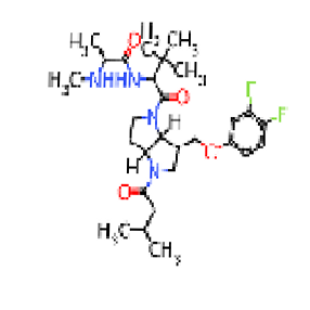 CN[C@@H](C)C(=O)N[C@H](C(=O)N1CC[C@@H]2[C@H]1[C@@H](COc1ccc(F)c(F)c1)CN2C(=O)CC(C)C)C(C)(C)C